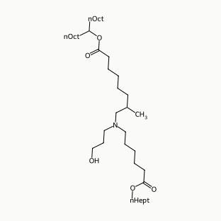 CCCCCCCCC(CCCCCCCC)OC(=O)CCCCCC(C)CN(CCCO)CCCCCC(=O)OCCCCCCC